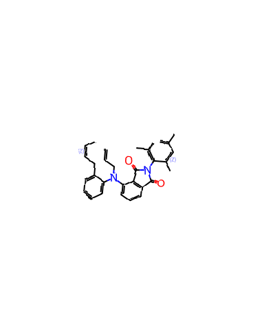 C=CCN(c1ccccc1C/C=C\C)c1cccc2c1C(=O)N(C(=C(C)C)/C(C)=C\C(=C)C)C2=O